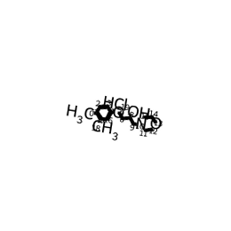 Cc1ccc(OCC(O)CN2CCOCC2)cc1C.Cl